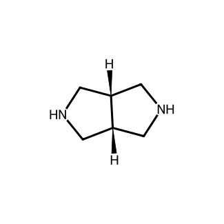 C1NC[C@H]2CNC[C@@H]12